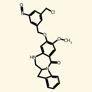 COc1cc2c(cc1OCc1cc(CCl)cc(N=O)c1)NCC1Cc3ccccc3N1C2=O